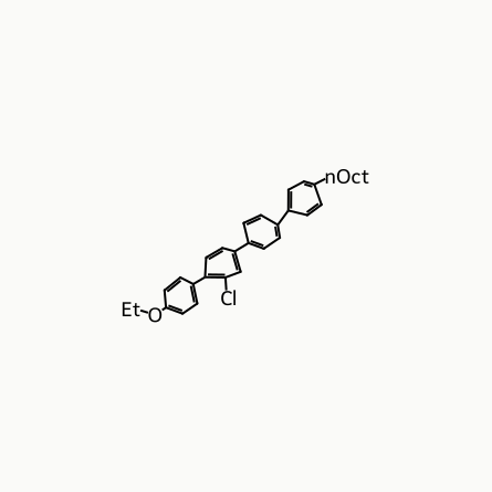 CCCCCCCCc1ccc(-c2ccc(-c3ccc(-c4ccc(OCC)cc4)c(Cl)c3)cc2)cc1